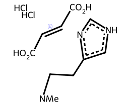 CNCCc1c[nH]cn1.Cl.Cl.O=C(O)/C=C/C(=O)O